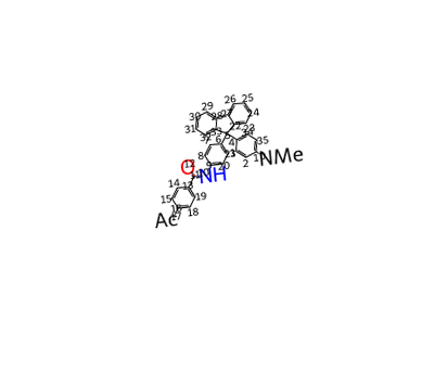 CNc1ccc(C2(c3ccc(NC(=O)c4ccc(C(C)=O)cc4)cc3)c3ccccc3-c3ccccc32)cc1